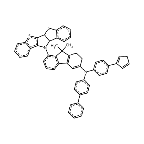 CC1(C)C2=C(C=C(N(c3ccc(C4=CCC=C4)cc3)c3ccc(-c4ccccc4)cc3)CC2)c2cccc(N3c4c(sc5ccccc45)C4Sc5ccccc5C43)c21